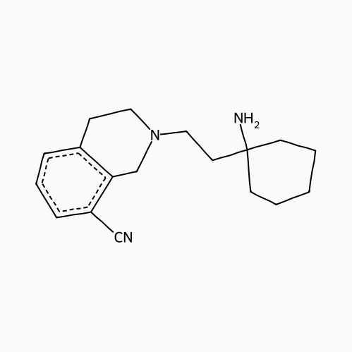 N#Cc1cccc2c1CN(CCC1(N)CCCCC1)CC2